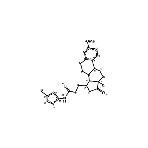 COc1ccc2c(c1)CCC1C2CCC2(C)C(=O)CC(CCC(=O)Nc3ncc(C)s3)C12